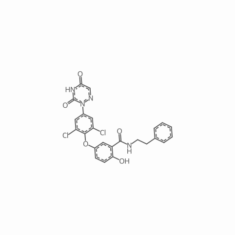 O=C(NCCc1ccccc1)c1cc(Oc2c(Cl)cc(-n3ncc(=O)[nH]c3=O)cc2Cl)ccc1O